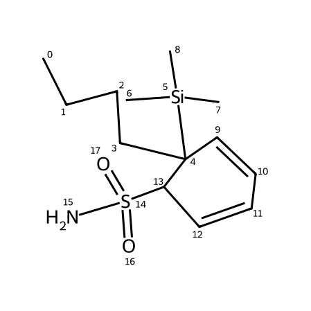 CCCCC1([Si](C)(C)C)C=CC=CC1S(N)(=O)=O